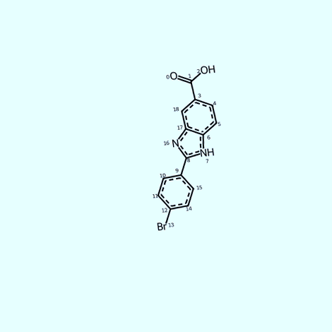 O=C(O)c1ccc2[nH]c(-c3ccc(Br)cc3)nc2c1